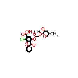 COC(COC1OC[C@H](C)CC1=O)Oc1cc(C(=O)O)c(Cl)c2c1C(=O)[C@]1(C=CCCC1)O2